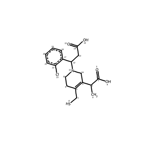 CC(C(=O)O)C1=C(CS)CCN(C(CC(=O)O)c2ccccc2Cl)C1